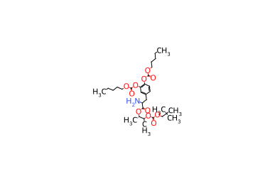 CCCCCOC(=O)Oc1ccc(C[C@H](N)C(=O)O[C@@H](C)C(C)OC(=O)OCC(C)(C)C)cc1OC(=O)OCCCCC